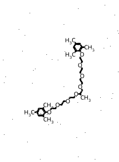 Cc1cc(C)c(OCCOCCOCCOCC(C)OCCOCCOCCOc2c(C)cc(C)cc2C)c(C)c1